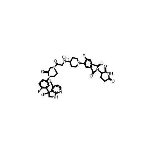 CCC1(c2cc(N3CCN(C(=O)CN(C)C4CCN(c5cc6c(cc5F)C(=O)N(C5CCC(=O)NC5=O)C6=O)CC4)CC3=O)ccc2F)CNc2nccc(Cl)c21